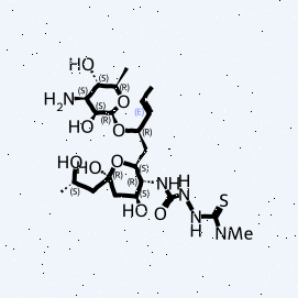 C/C=C/[C@@H](C[C@@H]1O[C@](O)(C[C@H](C)O)C[C@H](O)[C@H]1NC(=O)NNC(=S)NC)O[C@@H]1O[C@H](C)[C@@H](O)[C@H](N)[C@@H]1O